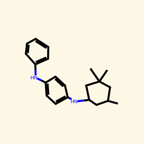 CC1CC(Nc2ccc(Nc3ccccc3)cc2)CC(C)(C)C1